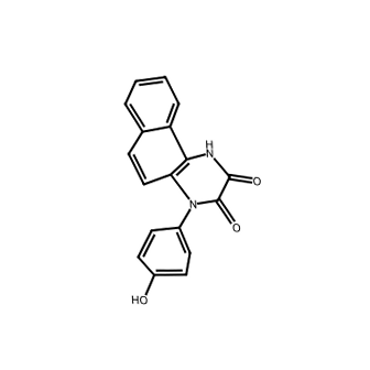 O=c1[nH]c2c3ccccc3ccc2n(-c2ccc(O)cc2)c1=O